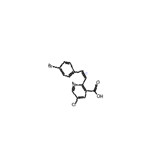 O=C(O)c1cc(Cl)cnc1/C=C\c1ccc(Br)cc1